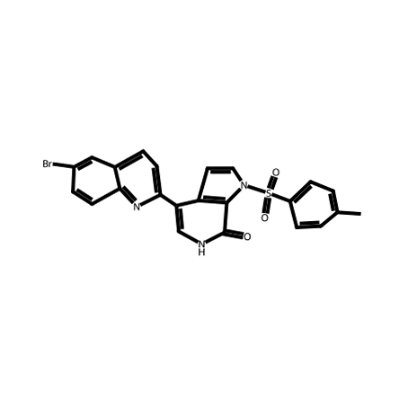 Cc1ccc(S(=O)(=O)n2ccc3c(-c4ccc5cc(Br)ccc5n4)c[nH]c(=O)c32)cc1